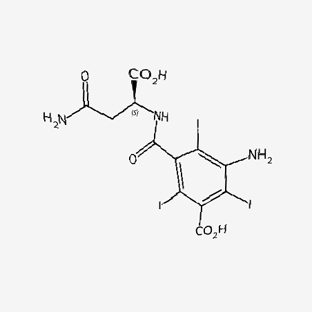 NC(=O)C[C@H](NC(=O)c1c(I)c(N)c(I)c(C(=O)O)c1I)C(=O)O